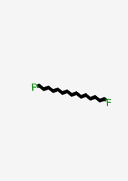 FCCCCCCCCCCCCCCCF